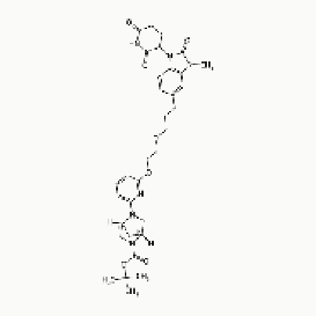 Cn1c(=O)n(C2CCC(=O)NC2=O)c2ccc(CCCOCCOc3cccc(N4C[C@H]5C[C@@H]4CN5C(=O)OC(C)(C)C)n3)cc21